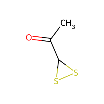 CC(=O)C1SS1